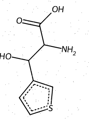 NC(C(=O)O)C(O)c1ccsc1